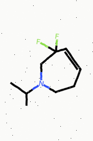 CC(C)N1CCC=CC(F)(F)C1